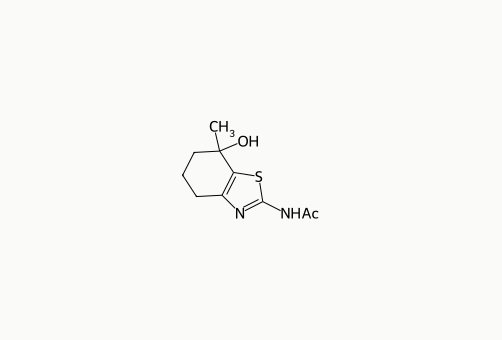 CC(=O)Nc1nc2c(s1)C(C)(O)CCC2